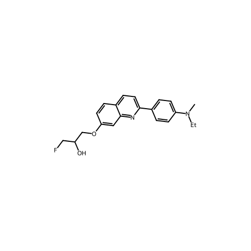 CCN(C)c1ccc(-c2ccc3ccc(OCC(O)CF)cc3n2)cc1